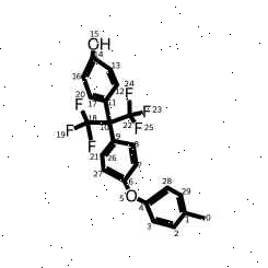 Cc1ccc(Oc2ccc(C(c3ccc(O)cc3)(C(F)(F)F)C(F)(F)F)cc2)cc1